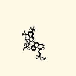 CCC1CC(N(Cc2cc(C(F)(F)F)cc(C(F)(F)F)c2)c2nnn(C)n2)c2cc(OC(F)(F)F)ccc2N1C(=O)CCC(=O)O